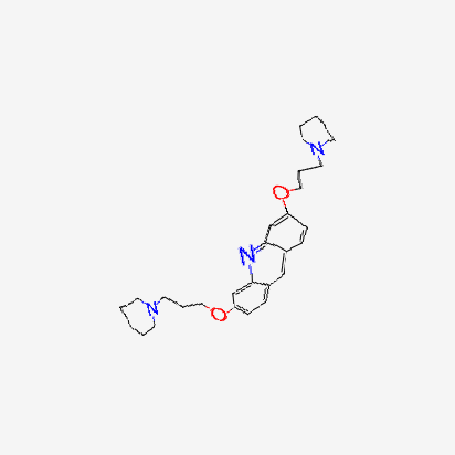 c1cc2cc3ccc(OCCCN4CCCCC4)cc3nc2cc1OCCCN1CCCCC1